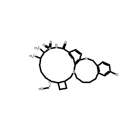 CC1CCC[C@@H](CO)C2CCC2CN2CCCCc3cc(Cl)ccc3COc3ccc(cc32)C(=O)NS(=O)(=O)C1C